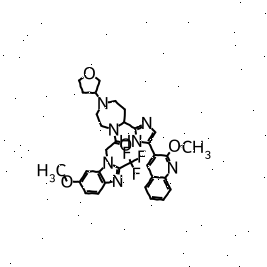 COc1ccc2nc(C(F)(F)F)n(CC(=O)N3CCN(C4CCOC4)CCC3c3ncc(-c4cc5ccccc5nc4OC)[nH]3)c2c1